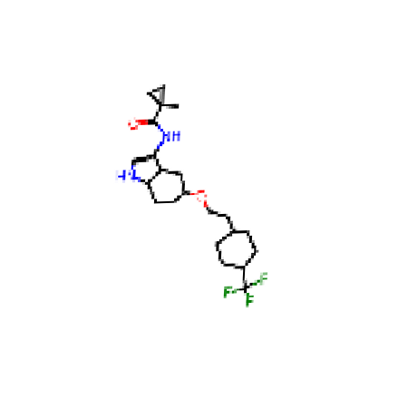 CC1(C(=O)NC2=CNC3CCC(OCCC4CCC(C(F)(F)F)CC4)CC23)CC1